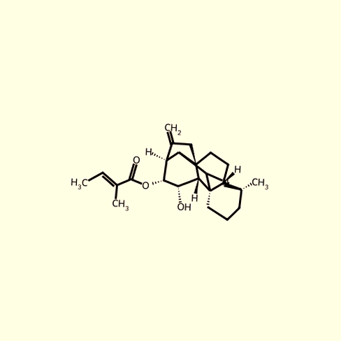 C=C1C[C@]23CC[C@H]4[C@]56CCC[C@@]4(C)C=NC5C2[C@H]1[C@@H](OC(=O)/C(C)=C/C)[C@@H](O)[C@H]36